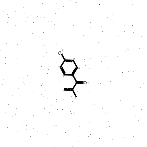 C=C(C)C(=O)c1ccc(Cl)cc1